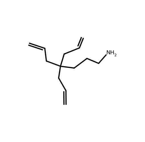 C=CCC(CC=C)(CC=C)CCCN